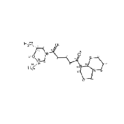 C[C@@H]1CN(C(=O)CCCC(=O)N2CCCC3CCCCC32)C[C@H](C)O1